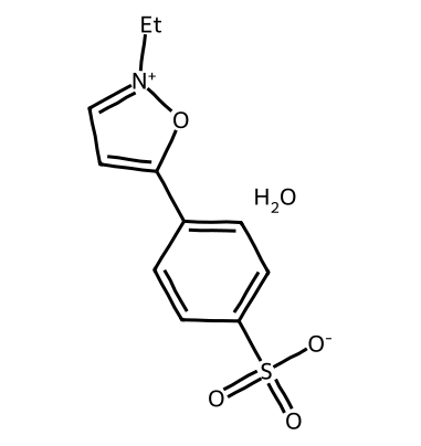 CC[n+]1ccc(-c2ccc(S(=O)(=O)[O-])cc2)o1.O